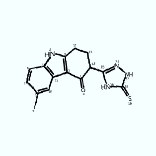 O=C1c2c([nH]c3ccc(I)cc23)CCC1c1n[nH]c(=S)[nH]1